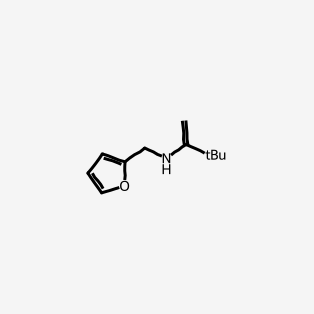 C=C(NCc1ccco1)C(C)(C)C